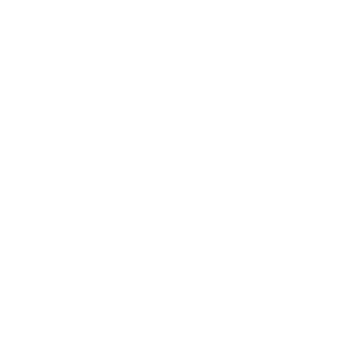 Cl.OC1CC(CN2CCC(c3ccccc3)CC2)CCc2c(OCc3ccccc3)cccc21